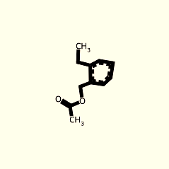 CCc1ccccc1COC(C)=O